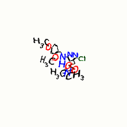 COc1ccc(CNc2cc(CS(=O)(=O)N(C)C)c(Cl)nn2)c(OC)c1